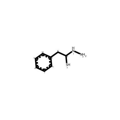 NNC(S)Cc1ccccc1